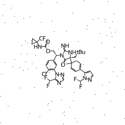 CC(C)(C)C[C@]1(C2(C)C=CC(c3ccnn3C(F)F)=CC2)NC(=N)N([C@H](COC(=O)NC2(C(F)(F)F)CC2)c2ccc(Cl)c(-n3ncnc3C(F)F)c2)C1=O